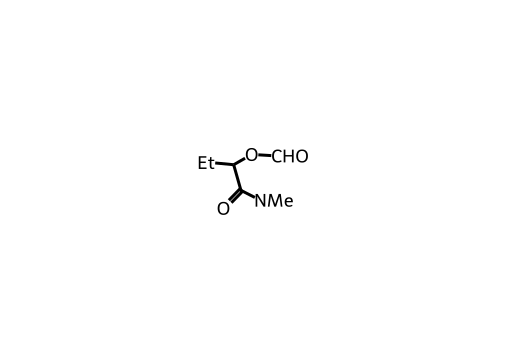 CCC(OC=O)C(=O)NC